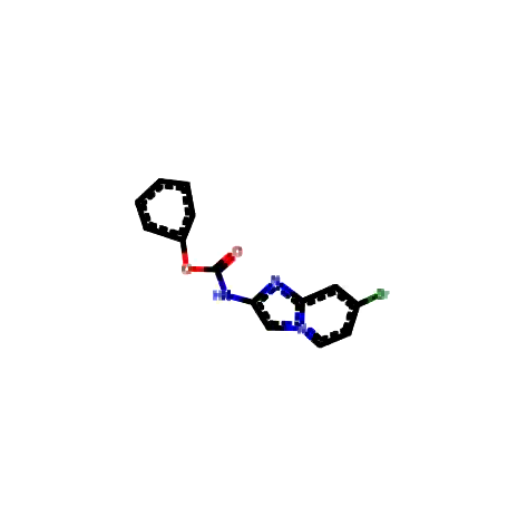 O=C(Nc1cn2ccc(Br)cc2n1)Oc1ccccc1